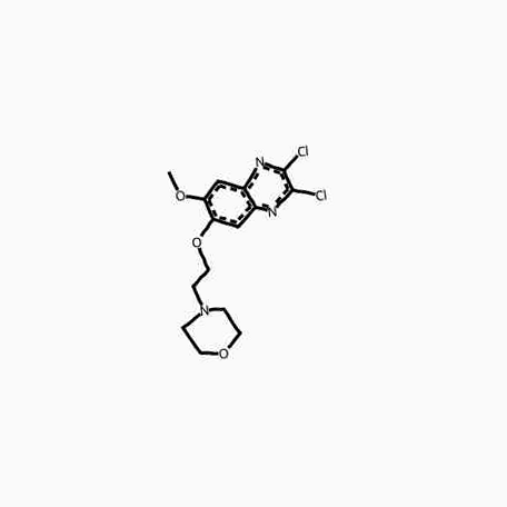 COc1cc2nc(Cl)c(Cl)nc2cc1OCCN1CCOCC1